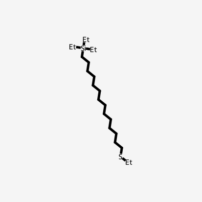 CCSCCCCCCCCCCCCCC[Si](CC)(CC)CC